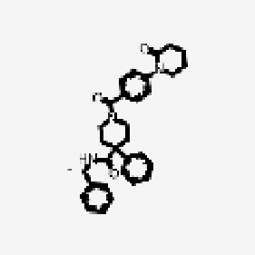 C[C@H](NC(=O)C1(c2ccccc2)CCN(C(=O)c2ccc(N3CCCCC3=O)cc2)CC1)c1ccccc1